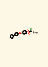 CCCCCC[C@H](F)C(=O)O[C@H]1CC[C@H](COc2ccc(C3CC[CH]CC3)cc2)CC1